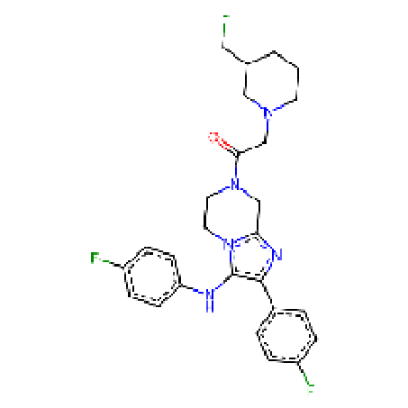 O=C(CN1CCCC(CF)C1)N1CCn2c(nc(-c3ccc(F)cc3)c2Nc2ccc(F)cc2)C1